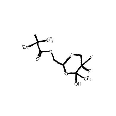 CCC(C)(C(=O)OCC1OCC(F)(F)C(O)(C(F)(F)F)O1)C(F)(F)F